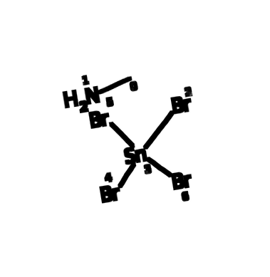 CN.[Br][Sn]([Br])([Br])[Br]